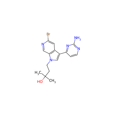 CC(C)(O)CCn1cc(-c2ccnc(N)n2)c2cc(Br)ncc21